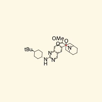 COC(=O)C1CC2CCCC(C1)N2C(=O)c1ccc2nc(N[C@H]3CC[C@H](C(C)(C)C)CC3)ncc2c1